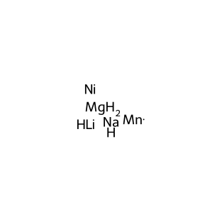 [LiH].[MgH2].[Mn].[NaH].[Ni]